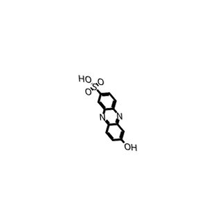 O=S(=O)(O)c1ccc2nc3cc(O)ccc3nc2c1